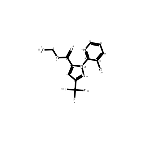 CCOC(=O)c1cc(C(F)(F)F)nn1-c1ncccc1Cl